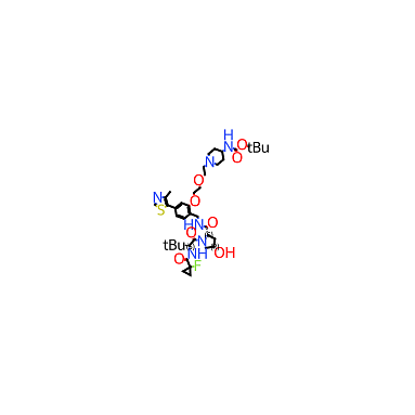 Cc1ncsc1-c1ccc(CNC(=O)[C@@H]2C[C@@H](O)CN2C(=O)[C@@H](NC(=O)C2(F)CC2)C(C)(C)C)c(OCCOCCN2CCC(NC(=O)OC(C)(C)C)CC2)c1